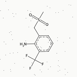 CS(=O)(=O)Cc1cccc(C(F)(F)F)c1N